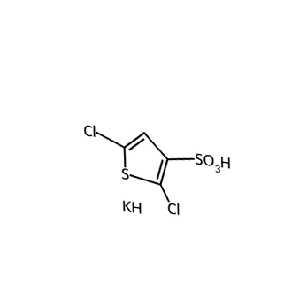 O=S(=O)(O)c1cc(Cl)sc1Cl.[KH]